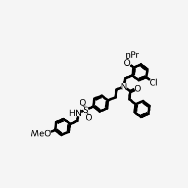 CCCOc1ccc(Cl)cc1CN(CCc1ccc(S(=O)(=O)NCc2ccc(OC)cc2)cc1)C(=O)Cc1ccccc1